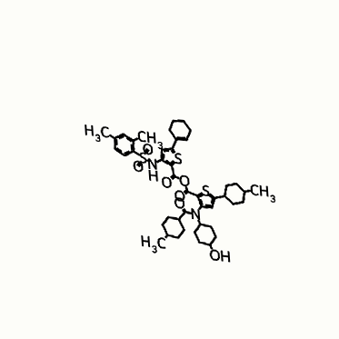 Cc1ccc(S(=O)(=O)Nc2cc(C3=CCCCC3)sc2C(=O)OC(=O)c2sc(C3CCC(C)CC3)cc2N(C(=O)C2CCC(C)CC2)C2CCC(O)CC2)c(C)c1